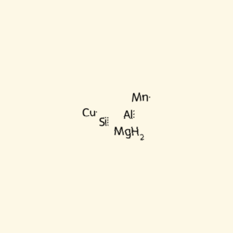 [Al].[Cu].[MgH2].[Mn].[Si]